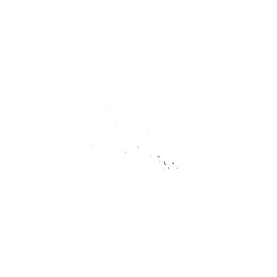 CCc1cc(OC(F)(F)F)cc2c1OC(C(F)(F)F)C(C(=O)OCON=[N+]([O-])N1CCC1)=C2